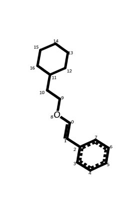 C(=Cc1ccccc1)OCCC1CCCCC1